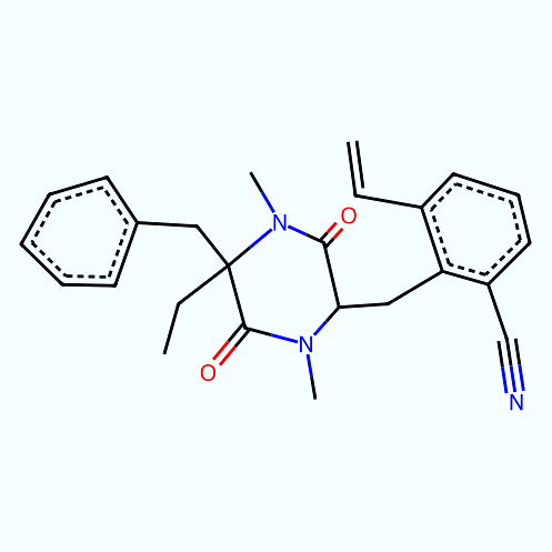 C=Cc1cccc(C#N)c1CC1C(=O)N(C)C(CC)(Cc2ccccc2)C(=O)N1C